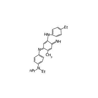 CCCN(CC)c1ccc(/N=C2/C=C(Nc3ccc(CC)cc3)C(=N)C=C2C)cc1